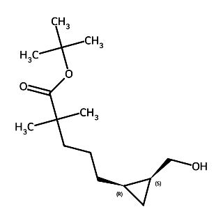 CC(C)(C)OC(=O)C(C)(C)CCC[C@@H]1C[C@@H]1CO